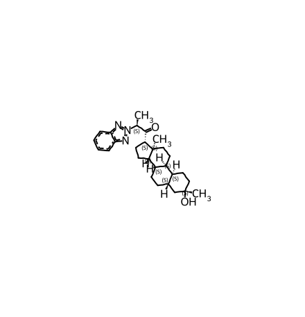 C[C@@H](C(=O)[C@H]1CC[C@H]2[C@H]3CC[C@H]4C[C@@](C)(O)CC[C@@H]4[C@@H]3CC[C@]12C)n1nc2ccccc2n1